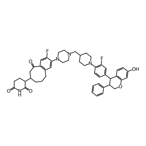 O=C1CCC(C2CCCc3cc(N4CCN(CC5CCN(c6ccc(C7c8ccc(O)cc8OCC7c7ccccc7)cc6F)CC5)CC4)c(F)cc3C(=O)C2)C(=O)N1